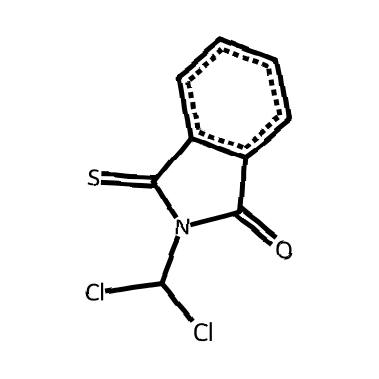 O=C1c2ccccc2C(=S)N1C(Cl)Cl